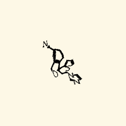 N#Cc1ccc2c(c1)COC2(CCn1ccnc1)c1cccs1